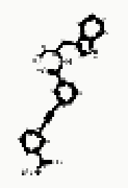 CNC(=O)c1cccc(C#Cc2cccc(C(=O)N[C@@H](CO)Cc3c[nH]c4ccccc34)c2)c1